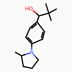 CC1CCCN1c1ccc(C(O)C(C)(C)C)cc1